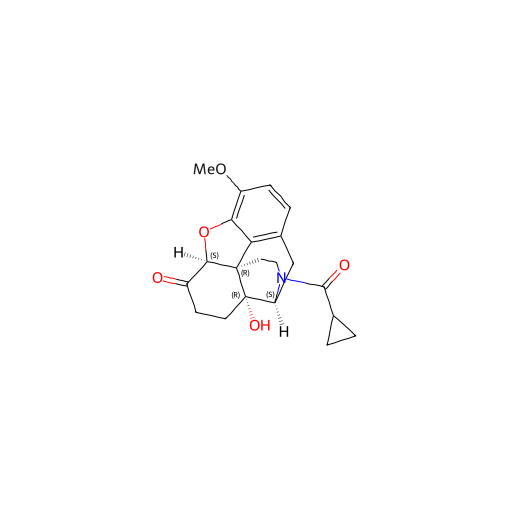 COc1ccc2c3c1O[C@@H]1C(=O)CC[C@]4(O)[C@H](C2)N(C(=O)C2CC2)CC[C@@]314